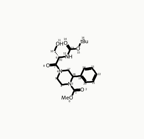 COC(=O)N1CCN(C(=O)[C@H](CO)NC(=O)OC(C)(C)C)CC1c1ccccc1